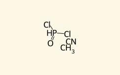 CC#N.O=[PH](Cl)Cl